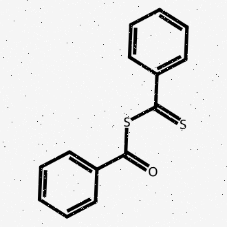 O=C(SC(=S)c1ccccc1)c1ccccc1